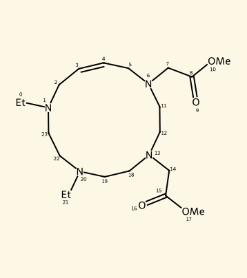 CCN1CC=CCN(CC(=O)OC)CCN(CC(=O)OC)CCN(CC)CC1